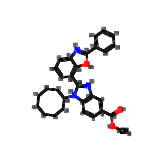 COC(=O)c1ccc2c(c1)nc(-c1cccc3nc(-c4ccccc4)oc13)n2C1CCCCCCC1